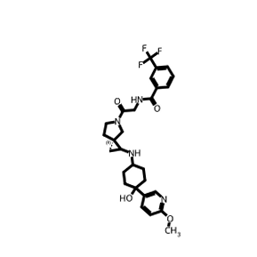 COc1ccc(C2(O)CCC(NC3C[C@@]34CCN(C(=O)CNC(=O)c3cccc(C(F)(F)F)c3)C4)CC2)cn1